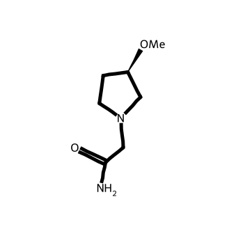 CO[C@@H]1CCN(CC(N)=O)C1